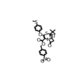 CSc1ccc(OC(SC(=O)C(C)(C)C)=C(C(=O)OCc2ccc([N+](=O)[O-])cc2)N2C(=O)CC2Cl)cc1